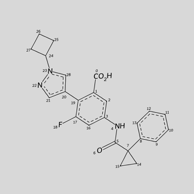 O=C(O)c1cc(NC(=O)C2(c3ccccc3)CC2)cc(F)c1-c1cnn(C2CCC2)c1